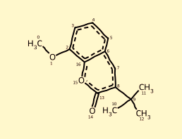 COc1cccc2cc(C(C)(C)C)c(=O)oc12